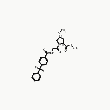 COC(=O)[C@@H]1C[C@@H](SC)CN1C(=O)CNC(=O)c1ccc(C(F)(F)c2ccccc2)cc1